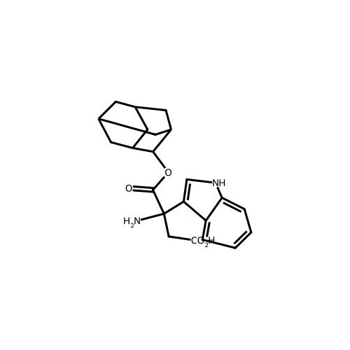 NC(CC(=O)O)(C(=O)OC1C2CC3CC(C2)CC1C3)c1c[nH]c2ccccc12